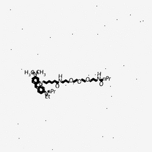 CCCC(=O)NCCCOCCOCCOCCCNC(=O)CCCCC[n+]1c2cc(N(C)C)ccc2cc2ccc(N(CC)CCC)cc21